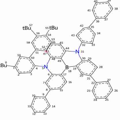 CC(C)(C)c1ccc(N2c3cc(-c4ccccc4)ccc3B3c4cc(-c5ccccc5)ccc4N(c4ccc(-c5ccccc5)cc4)c4cccc2c43)c(-c2ccc(C(C)(C)C)c(C(C)(C)C)c2)c1